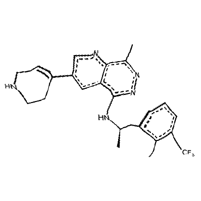 Cc1c([C@@H](C)Nc2nnc(C)c3ncc(C4=CCNCC4)cc23)cccc1C(F)(F)F